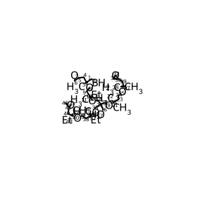 BCC(C)(CC1CO1)OCC(C)(CC)OCC(CO)(COC(C)(C)CCOC(C)(C)CC1CO1)COC(C)(CC)CCOC(C)(CC)CC1CO1